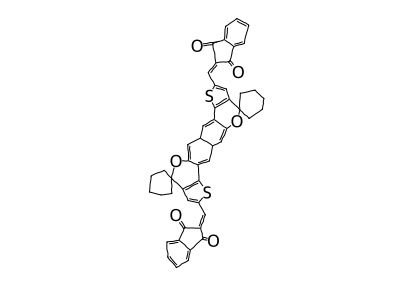 O=C1C(=Cc2cc3c(s2)C2=CC4C=C5OC6(CCCCC6)c6cc(C=C7C(=O)c8ccccc8C7=O)sc6C5=CC4C=C2OC32CCCCC2)C(=O)c2ccccc21